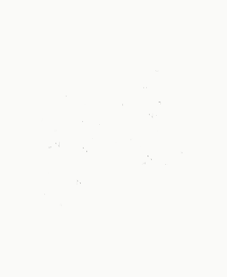 c1ccc(-n2c3ccc(-c4nc(-c5ccccn5)nc5ccccc45)cc3c3ncccc32)cc1